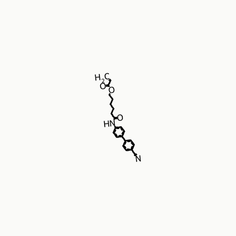 C=CC(=O)OCCCCCC(=O)Nc1ccc(-c2ccc(C#N)cc2)cc1